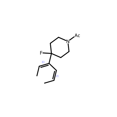 C/C=C\C(=C/C)C1(F)CCN(C(C)=O)CC1